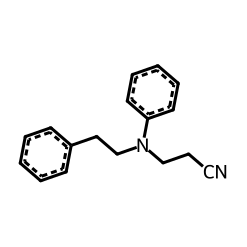 N#CCCN(CCc1ccccc1)c1ccccc1